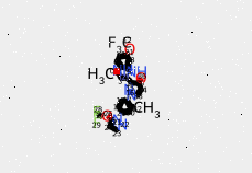 CC(=N)/C=C(\Nc1cccc(OC(F)(F)F)c1)c1nn(-c2ccc(-n3nccc3OC(F)F)cc2C)ccc1=O